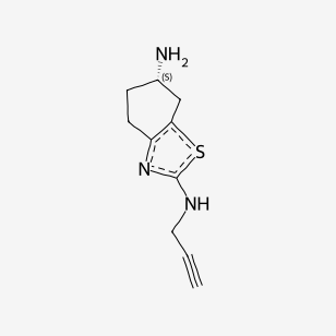 C#CCNc1nc2c(s1)C[C@@H](N)CC2